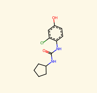 O=C(Nc1ccc(O)cc1Cl)NC1CCCC1